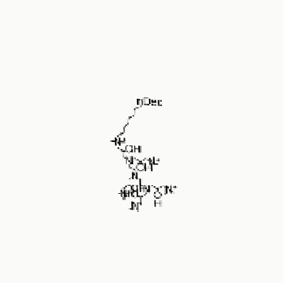 CCCCCCCCCCCCCCCCCC[N+](C)(C)CC(O)CN(CCN(CCN(CC(O)C[N+](C)(C)C)CC(O)C[N+](C)(C)C)CC(O)C[N+](C)(C)C)CC(O)C[N+](C)(C)C